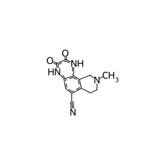 CN1CCc2c(C#N)cc3[nH]c(=O)c(=O)[nH]c3c2C1